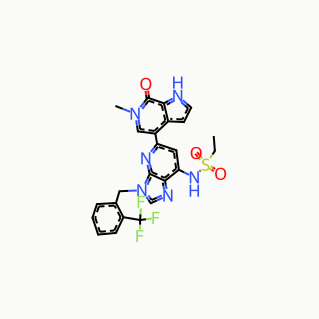 CCS(=O)(=O)Nc1cc(-c2cn(C)c(=O)c3[nH]ccc23)nc2c1ncn2Cc1ccccc1C(F)(F)F